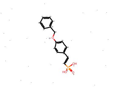 O=P(O)(O)C=Cc1ccc(OCc2ccccc2)cc1